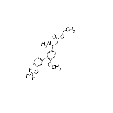 CCOC(=O)CC(N)c1ccc(OC)c(-c2cccc(OC(F)(F)F)c2)c1